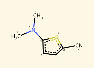 CN(C)c1ccc(C#N)s1